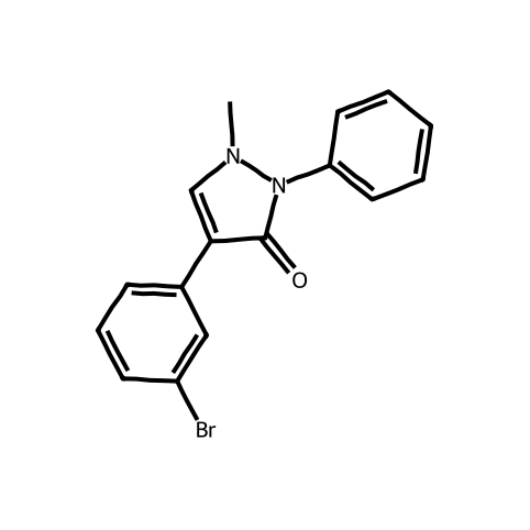 Cn1cc(-c2cccc(Br)c2)c(=O)n1-c1ccccc1